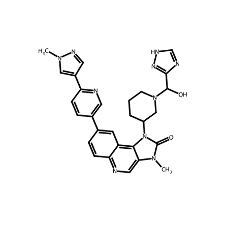 Cn1cc(-c2ccc(-c3ccc4ncc5c(c4c3)n(C3CCCN(C(O)c4nc[nH]n4)C3)c(=O)n5C)cn2)cn1